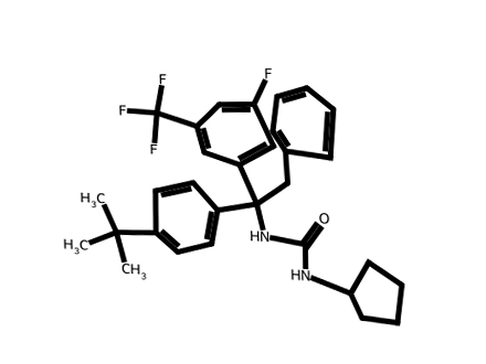 CC(C)(C)c1ccc(C(Cc2ccccc2)(NC(=O)NC2CCCC2)c2cc(F)cc(C(F)(F)F)c2)cc1